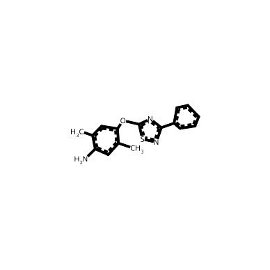 Cc1cc(Oc2nc(-c3ccccc3)ns2)c(C)cc1N